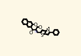 Cn1c(-c2ccccc2)cc2sc(/C=C3\C(=O)Oc4cc5ccccc5cc4C3=O)cc21